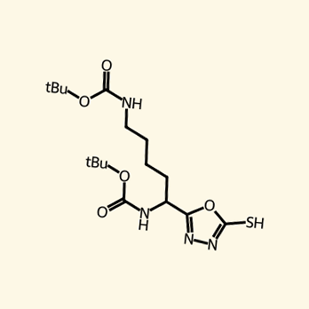 CC(C)(C)OC(=O)NCCCCC(NC(=O)OC(C)(C)C)c1nnc(S)o1